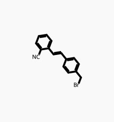 N#Cc1ccccc1C=Cc1ccc(CBr)cc1